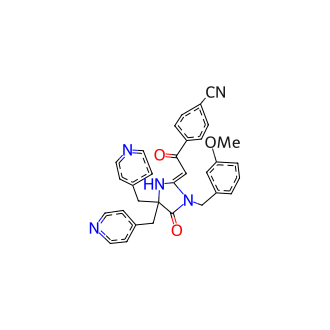 COc1cccc(CN2C(=O)C(Cc3ccncc3)(Cc3ccncc3)NC2=CC(=O)c2ccc(C#N)cc2)c1